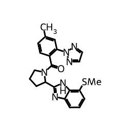 CSc1cccc2nc(C3CCCN3C(=O)c3ccc(C)cc3-n3nccn3)[nH]c12